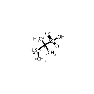 C[SiH2]C(C)(C)S(=O)(=O)O